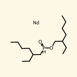 CCCCC(CC)CO[PH](=O)CC(CC)CCCC.[Nd]